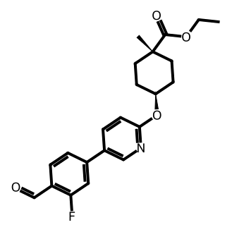 CCOC(=O)[C@]1(C)CC[C@@H](Oc2ccc(-c3ccc(C=O)c(F)c3)cn2)CC1